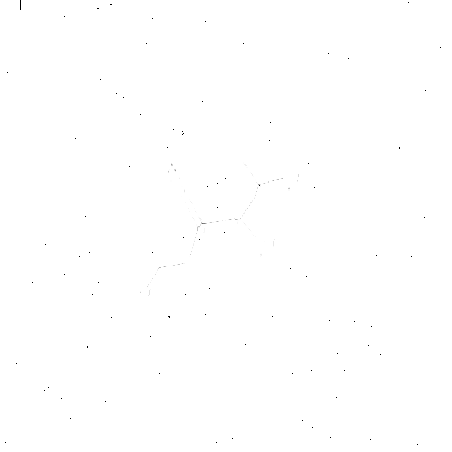 CCOC(=O)C(O)C(C)C.[W]